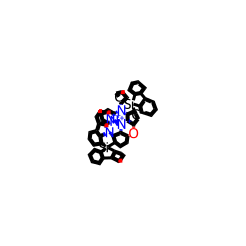 c1ccc2c(c1)-c1ccccc1[Si]21c2ccccc2N2c3c1ccc1c3[N+]3(c4c(ccc5c4-n4c6c(cccc6c6ccc[n+]3c64)[Si]53c4ccccc4-c4ccccc43)O1)[n+]1ccccc12